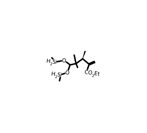 C=C(C(=O)OCC)[C@H](C)C(C)(C)C(O[SiH2]C)O[SiH2]C